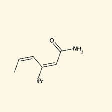 C/C=C\C(=C/C(N)=O)C(C)C